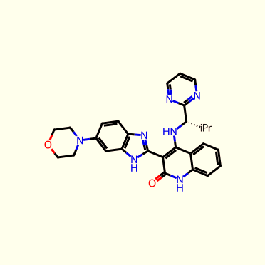 CC(C)[C@H](Nc1c(-c2nc3ccc(N4CCOCC4)cc3[nH]2)c(=O)[nH]c2ccccc12)c1ncccn1